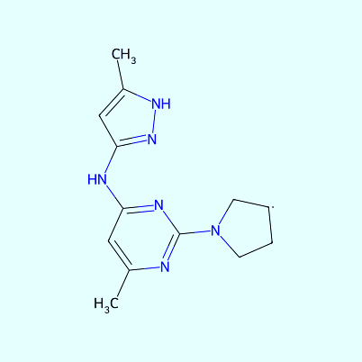 Cc1cc(Nc2cc(C)[nH]n2)nc(N2C[CH]CC2)n1